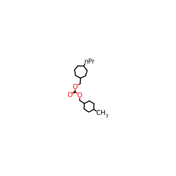 CCCC1CCCC(COC(=O)OCC2CCC(C)CC2)CC1